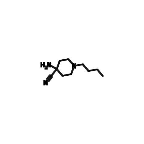 CCCCN1CCC(N)(C#N)CC1